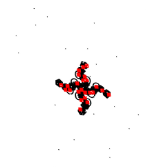 c1ccc(-c2ccc3oc4cc5c(cc4c3c2)oc2ccc(C(c3ccc4oc6cc7c(cc6c4c3)oc3ccc(-c4ccccc4)cc37)(c3ccc4oc6cc7c(cc6c4c3)oc3ccc(-c4ccccc4)cc37)c3ccc4oc6cc7c(cc6c4c3)oc3ccc(-c4ccccc4)cc37)cc25)cc1